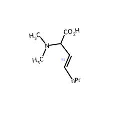 CCC/C=C/C(C(=O)O)N(C)C